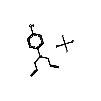 C=CC[S+](CC=C)c1ccc(O)cc1.F[B-](F)(F)F